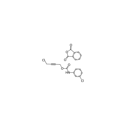 O=C(Nc1cccc(Cl)c1)OCC#CCCl.O=C1OC(=O)c2ccccc21